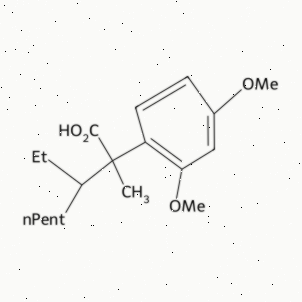 CCCCCC(CC)C(C)(C(=O)O)c1ccc(OC)cc1OC